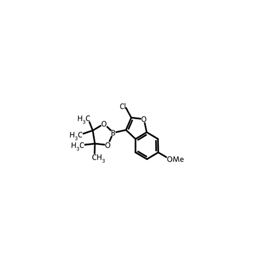 COc1ccc2c(B3OC(C)(C)C(C)(C)O3)c(Cl)oc2c1